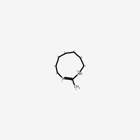 C/C1=N/CCCCCCCN1